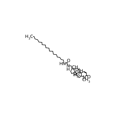 CCCCCCCCCCCCCCCCCCNC(=O)NCC1CC[C@H]2[C@@H]3CCC4N(C)C(=O)C=C[C@]4(C)[C@@H]3CC[C@]12C